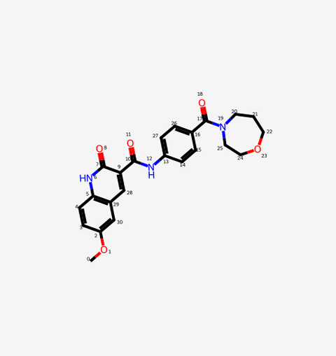 COc1ccc2[nH]c(=O)c(C(=O)Nc3ccc(C(=O)N4CCCOCC4)cc3)cc2c1